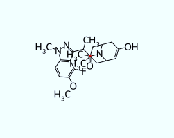 COc1ccc2c(c(C(C)C(=O)N3C4C=C(O)CC3CC(C)(C)C4)nn2C)c1F